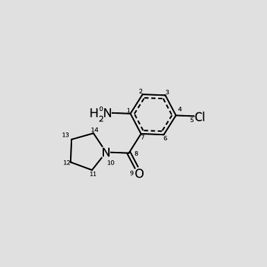 Nc1ccc(Cl)cc1C(=O)N1CCCC1